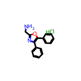 Cl.NCc1nc(-c2ccccc2)c(-c2ccccc2)o1